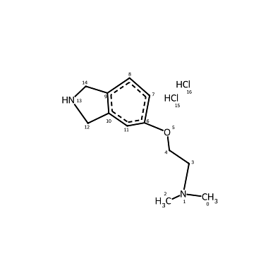 CN(C)CCOc1ccc2c(c1)CNC2.Cl.Cl